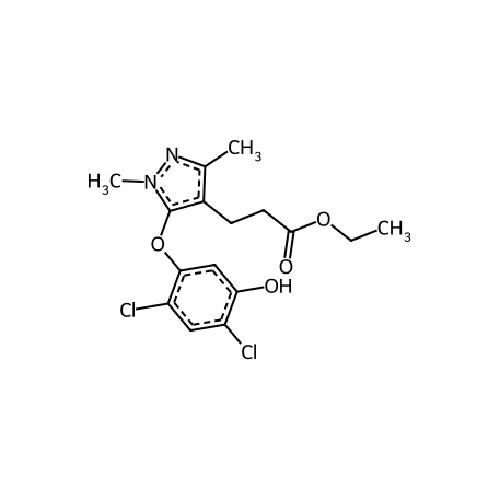 CCOC(=O)CCc1c(C)nn(C)c1Oc1cc(O)c(Cl)cc1Cl